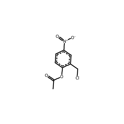 CC(=O)Oc1ccc([N+](=O)[O-])cc1CCl